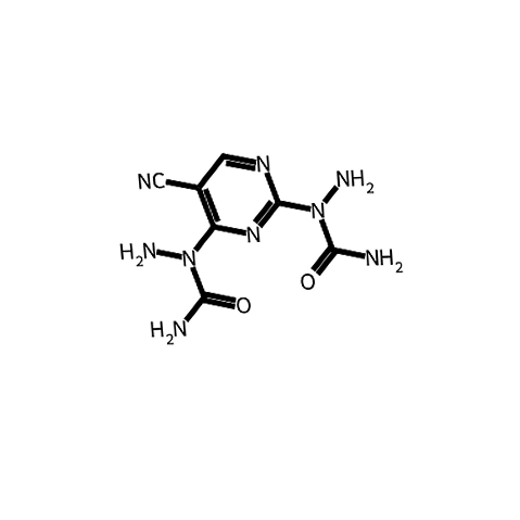 N#Cc1cnc(N(N)C(N)=O)nc1N(N)C(N)=O